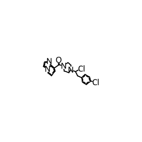 O=C(c1cccn2ccnc12)N1CCN(C(Cl)Cc2ccc(Cl)cc2)CC1